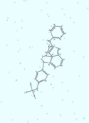 CC1CCN(c2ccc(OC(F)(F)F)cc2)C2=CC=CC3=NC(Oc4ccccc4)=CC231